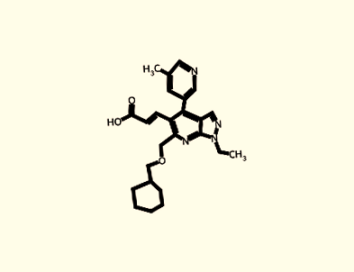 CCn1ncc2c(-c3cncc(C)c3)c(C=CC(=O)O)c(COCC3CCCCC3)nc21